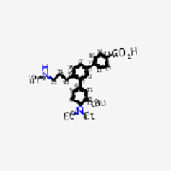 CCN(CC)c1ccc(-c2cc(-c3ccc(C(=O)O)cc3)ccc2CCCNC(C)C)cc1C(C)(C)C